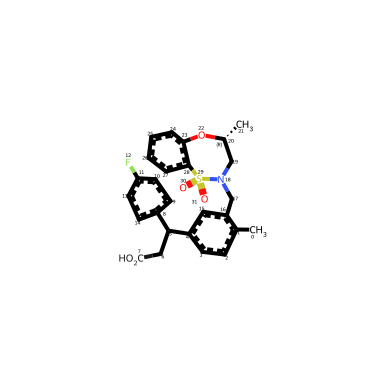 Cc1ccc(C(CC(=O)O)c2ccc(F)cc2)cc1CN1C[C@@H](C)Oc2ccccc2S1(=O)=O